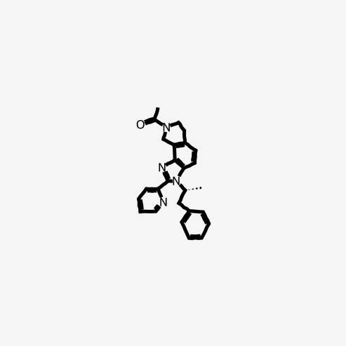 CC(=O)N1CCc2ccc3c(nc(-c4ccccn4)n3[C@H](C)Cc3ccccc3)c2C1